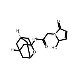 O=C(CN1C(=O)C=CC1O)NC12C[C@@H]3CC(C[C@@H](C3)C1)O2